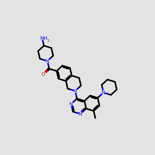 Cc1cc(N2CCCCC2)cc2c(N3CCc4ccc(C(=O)N5CCC(N)CC5)cc4C3)ncnc12